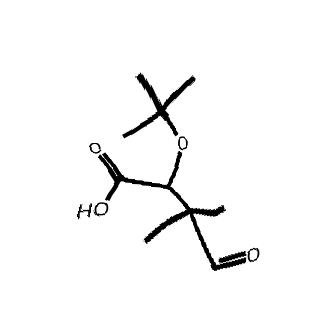 CC(C)(C)OC(C(=O)O)C(C)(C)C=O